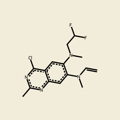 C=CN(C)c1cc2nc(C)nc(Cl)c2cc1N(C)CC(F)F